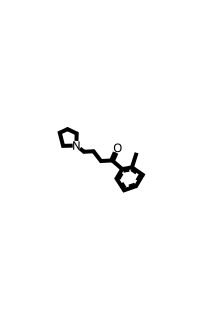 Cc1ccccc1C(=O)CCCN1CCCC1